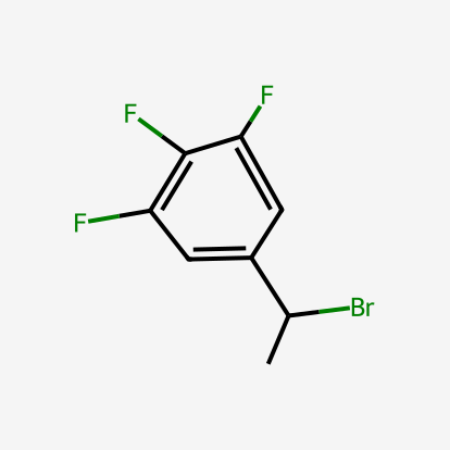 CC(Br)c1cc(F)c(F)c(F)c1